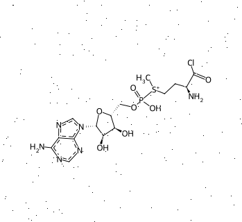 C[S+](CC[C@H](N)C(=O)Cl)P(=O)(O)OC[C@H]1O[C@@H](n2cnc3c(N)ncnc32)[C@H](O)[C@@H]1O